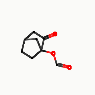 O=COC12CCC(CC1=O)C2